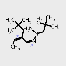 C/C=C(\C=N/N(N)CC(C)(C)C)CC(C)(C)C